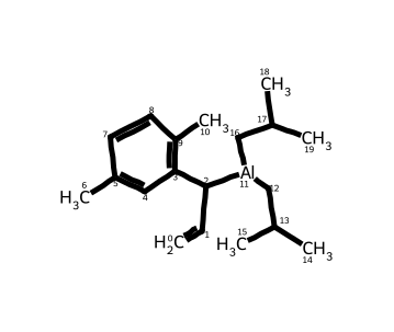 C=C[CH](c1cc(C)ccc1C)[Al]([CH2]C(C)C)[CH2]C(C)C